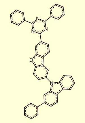 c1ccc(-c2ccc3c4ccccc4n(-c4ccc5oc6cc(-c7nc(-c8ccccc8)nc(-c8ccccc8)n7)ccc6c5c4)c3c2)cc1